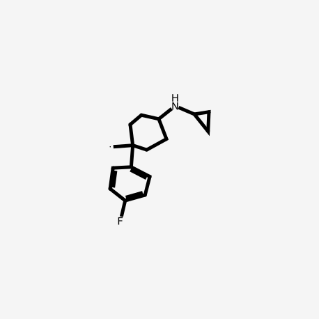 [CH2]C1(c2ccc(F)cc2)CCC(NC2CC2)CC1